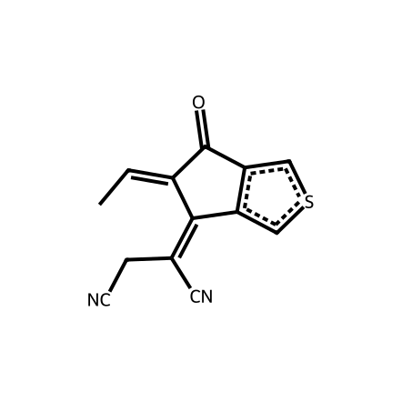 C/C=C1/C(=O)c2cscc2/C1=C(\C#N)CC#N